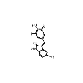 O=C1Nc2ccc(Cl)cc2C1=Cc1cc(I)c(O)c(I)c1